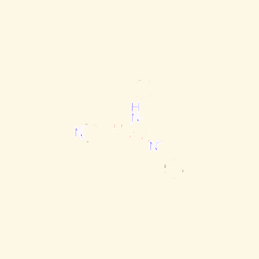 O=C(NC(Cc1ccccc1)C1CC(Cc2ccccc2)=NO1)OCc1ccncc1